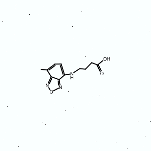 Cc1ccc(NCCCC(=O)O)c2nonc12